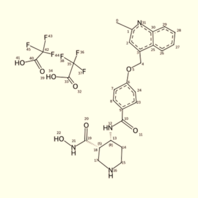 Cc1cc(COc2ccc(C(=O)N[C@@H]3CCNC[C@@H]3C(=O)NO)cc2)c2ccccc2n1.O=C(O)C(F)(F)F.O=C(O)C(F)(F)F